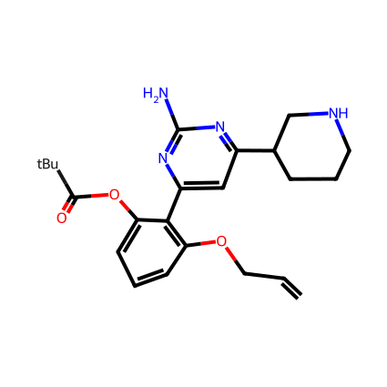 C=CCOc1cccc(OC(=O)C(C)(C)C)c1-c1cc(C2CCCNC2)nc(N)n1